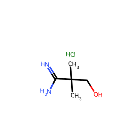 CC(C)(CO)C(=N)N.Cl